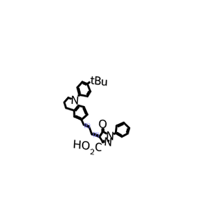 CC(C)(C)c1ccc(N2CCCc3cc(/C=C/C=C4\C(=O)N(c5ccccc5)N=C4C(=O)O)ccc32)cc1